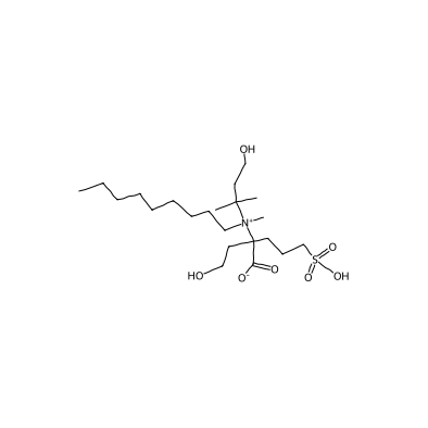 CCCCCCCCC[N+](C)(C(C)(C)CCO)C(CCO)(CCCS(=O)(=O)O)C(=O)[O-]